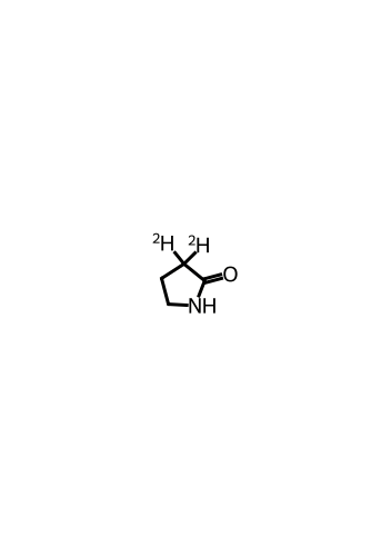 [2H]C1([2H])CCNC1=O